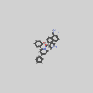 NCc1cccc2c1CCC[C@]21CNC[C@H]1C(=O)N1CC[C@@H](c2ccccc2)C[C@H]1C1CCCCC1